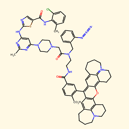 Cc1nc(Nc2ncc(C(=O)Nc3c(C)cccc3Cl)s2)cc(N2CCN(CC(=O)N(CCNC(=O)c3ccc(C(=O)O)c(C4=c5cc6c7c(c5Oc5c4cc4c8c5CCCN8CCCC4)CCC[N+]=7CCCC6)c3)Cc3ccccc3N=[N+]=[N-])CC2)n1